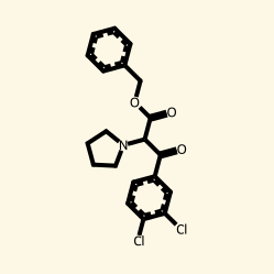 O=C(OCc1ccccc1)C(C(=O)c1ccc(Cl)c(Cl)c1)N1CCCC1